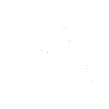 Cc1csc(NC(=O)c2cc(OCCc3ccccc3)nc(OCC(C)C)c2)n1